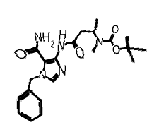 CC(CC(=O)Nc1ncn(Cc2ccccc2)c1C(N)=O)N(C)C(=O)OC(C)(C)C